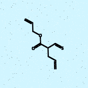 C=CCOC(=O)C(C=S)CC=C